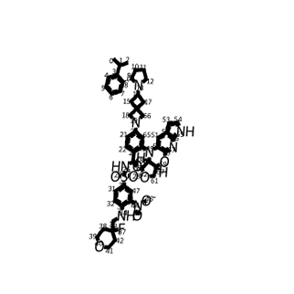 CC(C)c1ccccc1[C@@H]1CCCN1C1CC2(C1)CN(c1ccc(C(=O)NS(=O)(=O)c3ccc(NCC4(F)CCOCC4)c([N+](=O)[O-])c3)c(N3c4cc5cc[nH]c5nc4O[C@H]4COC[C@@H]43)c1)C2